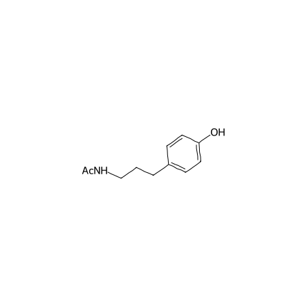 CC(=O)NCCCc1ccc(O)cc1